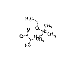 CC(O)C(=O)[O-].CCO[N+](C)(C)C